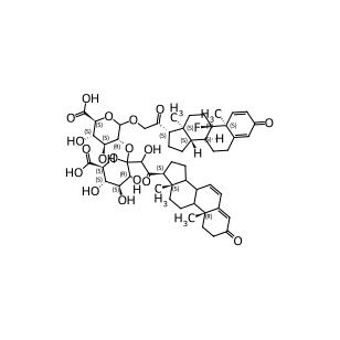 C[C@]12CC[C@@]3(F)[C@@H](CCC4=CC(=O)C=C[C@@]43C)[C@@H]1CC[C@@H]2C(=O)COC1O[C@H](C(=O)O)[C@@H](O)[C@H](O)[C@H]1OC1(C(O)C(=O)[C@H]2CCC3C4C=CC5=CC(=O)CC[C@]5(C)C4CC[C@@]32C)O[C@H](C(=O)O)[C@@H](O)[C@H](O)[C@H]1O